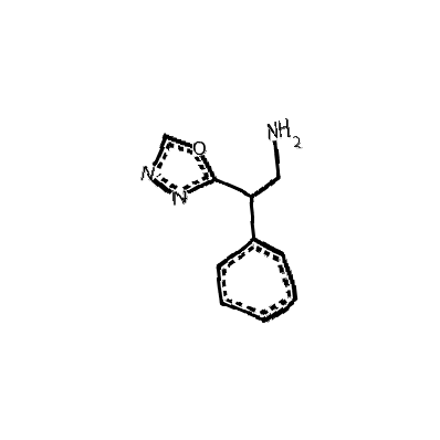 NCC(c1ccccc1)c1nnco1